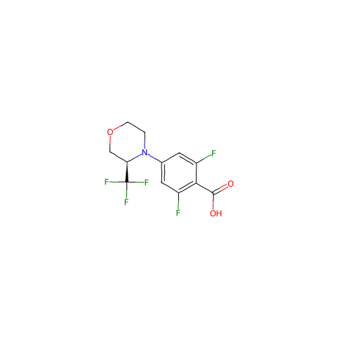 O=C(O)c1c(F)cc(N2CCOC[C@@H]2C(F)(F)F)cc1F